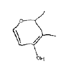 CC1=C(O)C=COC1C